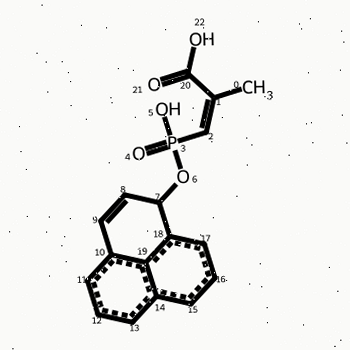 CC(=CP(=O)(O)OC1C=Cc2cccc3cccc1c23)C(=O)O